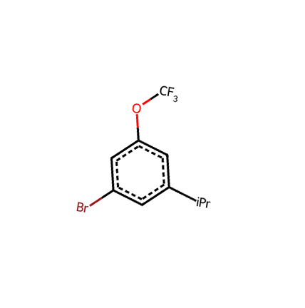 CC(C)c1cc(Br)cc(OC(F)(F)F)c1